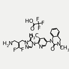 Cc1cc(N2C(=O)N(C)Cc3ccccc32)cnc1-n1cnn(CC(CN)=C(F)F)c1=O.O=C(O)C(F)(F)F